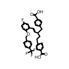 O=C(O)c1ccc(CCC(/C=C/c2cc(F)ccc2OCc2ccc(C(F)(F)F)cc2)Cc2ccc(C(=O)O)cc2)cc1